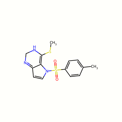 CSC1=c2c(ccn2S(=O)(=O)c2ccc(C)cc2)=NCN1